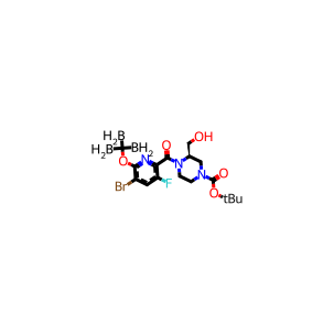 BC(B)(B)Oc1nc(C(=O)N2CCN(C(=O)OC(C)(C)C)C[C@@H]2CO)c(F)cc1Br